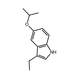 CCc1c[nH]c2ccc(OC(C)C)cc12